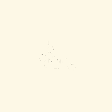 Cc1ccc(N2CCN(C(=O)C(O)c3ccccc3F)C[C@H]2c2ccc(Cl)cc2)c(Cl)c1